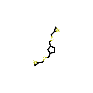 C1CC(CSCC2CS2)CC1CSCC1CS1